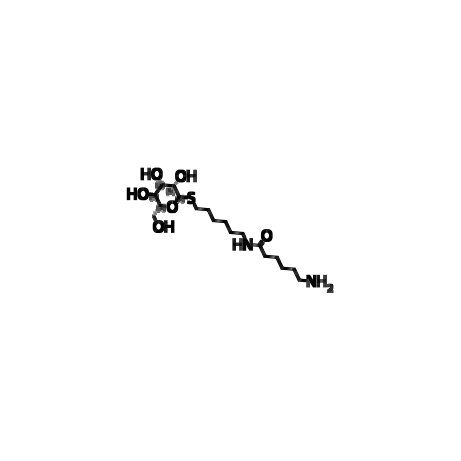 NCCCCCC(=O)NCCCCCCS[C@H]1O[C@H](CO)[C@@H](O)[C@H](O)[C@@H]1O